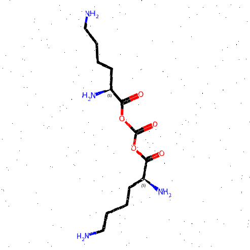 NCCCC[C@H](N)C(=O)OC(=O)OC(=O)[C@@H](N)CCCCN